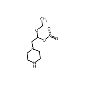 CCOC(CN1CCNCC1)O[SH](=O)=O